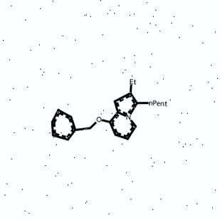 CCCCCc1c(CC)cc2c(OCc3ccccc3)cccn12